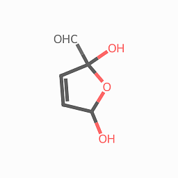 O=CC1(O)C=CC(O)O1